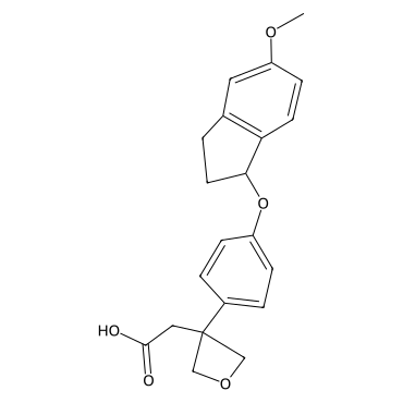 COc1ccc2c(c1)CCC2Oc1ccc(C2(CC(=O)O)COC2)cc1